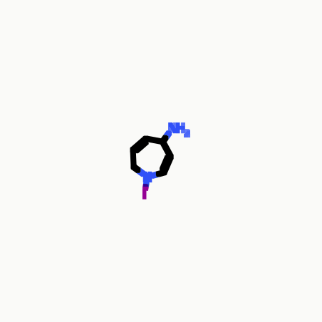 NC1C=CCN(I)C=C1